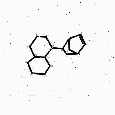 C1=CC2CC1CC2C1CCCC2CCCCC21